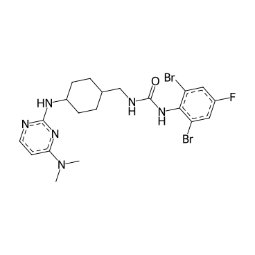 CN(C)c1ccnc(NC2CCC(CNC(=O)Nc3c(Br)cc(F)cc3Br)CC2)n1